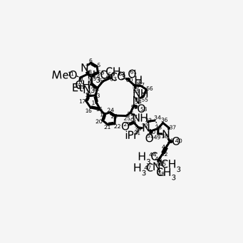 CCn1c(-c2cccnc2[C@H](C)OC)c2c3cc(ccc31)-c1cccc(c1)C[C@H](NC(=O)[C@H](C(C)C)N1CC[C@@]3(CCN(C(=O)C#CC(C)(C)N(C)C)C3)C1=O)C(=O)N1CCC[C@H](N1)C(=O)OCC(C)(C)C2